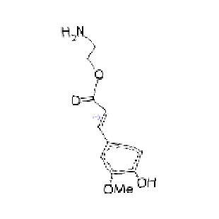 COc1cc(/C=C/C(=O)OCCN)ccc1O